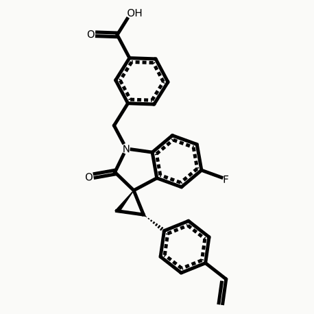 C=Cc1ccc([C@@H]2C[C@]23C(=O)N(Cc2cccc(C(=O)O)c2)c2ccc(F)cc23)cc1